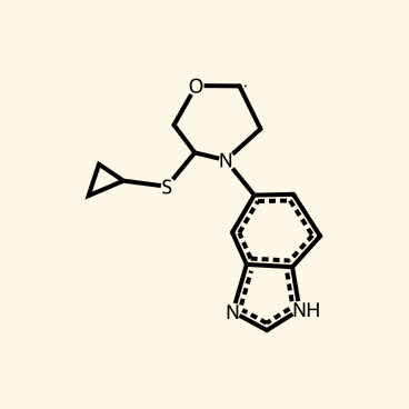 [CH]1CN(c2ccc3[nH]cnc3c2)C(SC2CC2)CO1